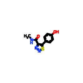 CNC(=O)c1nnsc1-c1ccc(O)cc1